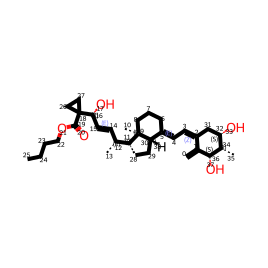 C=C1/C(=C\C=C2/CCC[C@]3(C)[C@@H]([C@H](C)/C=C/[C@@H](O)C4(C(=O)OCCCC)CC4)CC[C@@H]23)C[C@H](O)[C@H](C)[C@@H]1O